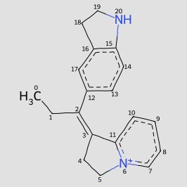 CCC(=C1CC[n+]2ccccc21)c1ccc2c(c1)CCN2